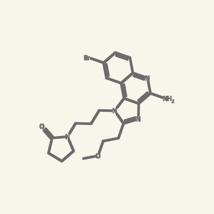 COCCc1nc2c(N)nc3ccc(Br)cc3c2n1CCCN1CCCC1=O